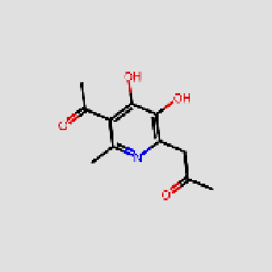 CC(=O)Cc1nc(C)c(C(C)=O)c(O)c1O